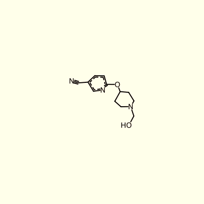 N#Cc1ccc(OC2CCN(CO)CC2)nc1